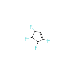 FC1=CC(F)C(F)C1F